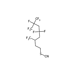 N#CSCCC(CC(F)(F)CC(F)(C(F)(F)F)C(F)(F)F)C(F)(F)F